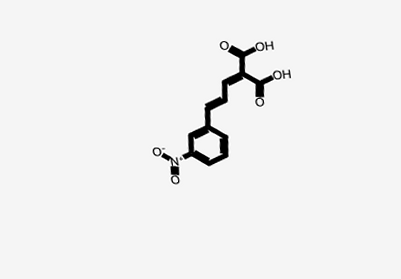 O=C(O)C(=CC=Cc1cccc([N+](=O)[O-])c1)C(=O)O